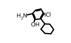 Cl.Nc1cccc(C2CCCCC2)c1O